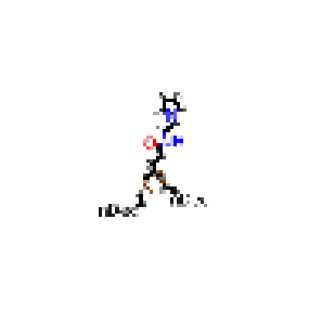 CCCCCCCCCCCCSCC(CCC(=O)NCCN1CCCC1)SCCCCCCCCCCCC